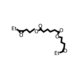 CCC1OC1CCCOC(=O)CCCCC(=O)OCCCC1OC1CC